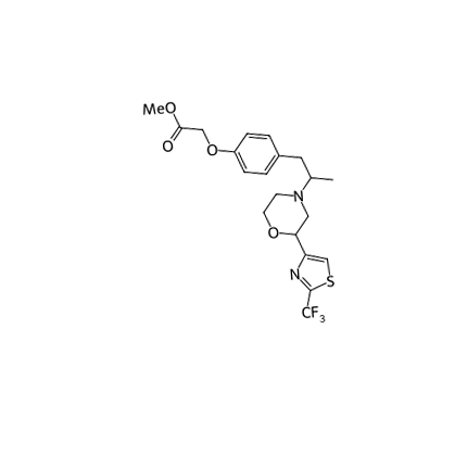 COC(=O)COc1ccc(CC(C)N2CCOC(c3csc(C(F)(F)F)n3)C2)cc1